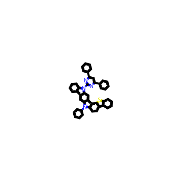 c1ccc(-c2cc(-c3ccccc3)nc(-n3c4ccccc4c4cc5c(cc43)c3c4sc6ccccc6c4ccc3n5-c3ccccc3)n2)cc1